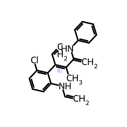 C=CNc1cccc(Cl)c1/C(C=C)=C(\C)C(=C)Nc1ccccc1